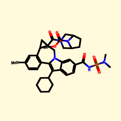 COc1ccc2c(c1)C1CC1(C(=O)N1CC3CCC(C1)N3C(=O)OC(C)(C)C)Cn1c-2c(C2CCCCC2)c2ccc(C(=O)NS(=O)(=O)N(C)C)cc21